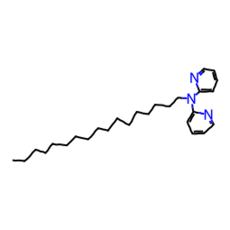 CCCCCCCCCCCCCCCCCN(c1ccccn1)c1ccccn1